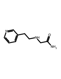 NC(=O)CNCCc1cccnc1